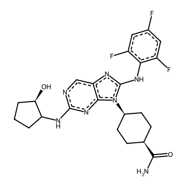 NC(=O)[C@H]1CC[C@@H](n2c(Nc3c(F)cc(F)cc3F)nc3cnc(NC4CCC[C@H]4O)nc32)CC1